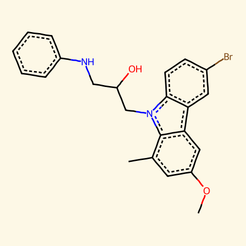 COc1cc(C)c2c(c1)c1cc(Br)ccc1n2CC(O)CNc1ccccc1